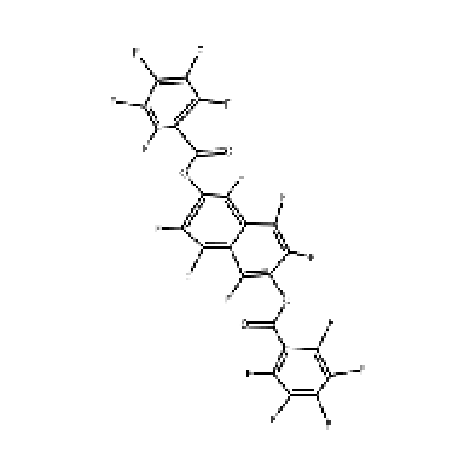 O=C(Oc1c(F)c(F)c2c(F)c(OC(=O)c3c(F)c(F)c(F)c(F)c3F)c(F)c(F)c2c1F)c1c(F)c(F)c(F)c(F)c1F